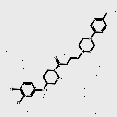 Cc1ccc(N2CCN(CCCC(=O)N3CCC(Nc4ccc(Cl)c(Cl)c4)CC3)CC2)cc1